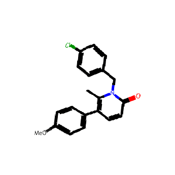 COc1ccc(-c2ccc(=O)n(Cc3ccc(Cl)cc3)c2C)cc1